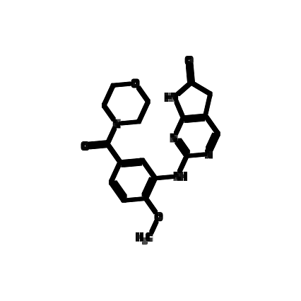 COc1ccc(C(=O)N2CCOCC2)cc1Nc1ncc2c(n1)NC(=O)C2